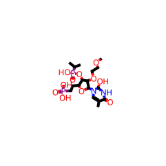 COCCOC1C(OP(=O)(O)C(C)C)C(CCP(=O)(O)O)OC1N1C=C(C)C(=O)NC1O